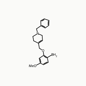 Bc1ccc(OC)cc1OCC1=CCN(Cc2ccccc2)CC1